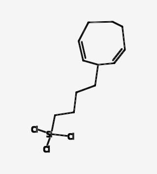 Cl[Si](Cl)(Cl)CCCCC1C=CCCCC=C1